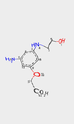 Nc1cc(NCCO)cc(OCC(=O)O)c1